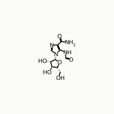 NC(=O)c1ncn([C@@H]2O[C@H](CO)[C@@H](O)[C@@H]2O)c1NC=O